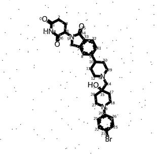 O=C1CCC(N2Cc3cc(C4CCN(CC5(O)CCN(c6ccc(Br)cc6)CC5)CC4)ccc3C2=O)C(=O)N1